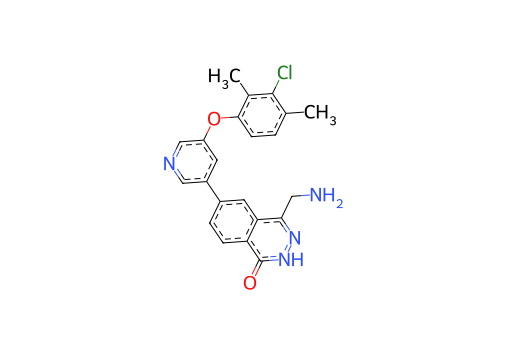 Cc1ccc(Oc2cncc(-c3ccc4c(=O)[nH]nc(CN)c4c3)c2)c(C)c1Cl